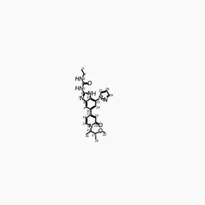 CCNC(=O)Nc1nc2cc(-c3ccn(C(C)[C@H](C)OC)c(=O)c3)cc(-n3cccn3)c2[nH]1